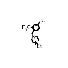 CCN1CCN(Cc2ccc(C(C)C)cc2C(F)(F)F)CC1